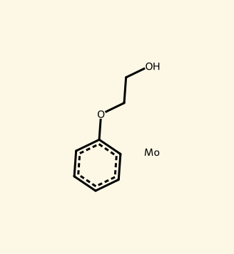 OCCOc1ccccc1.[Mo]